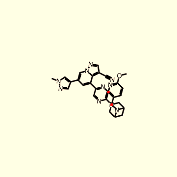 COc1ccc(CN2C3CC2CN(c2cnc(-c4cc(-c5cnn(C)c5)cn5ncc(C#N)c45)cn2)C3)cn1